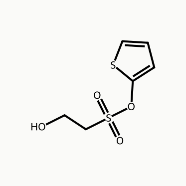 O=S(=O)(CCO)Oc1cccs1